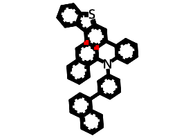 c1cc(-c2cccc3ccccc23)cc(N(c2ccccc2-c2ccc3c(c2)sc2ccccc23)c2cccc3ccccc23)c1